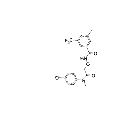 Cc1cc(C(=O)NOCC(=O)N(C)c2ccc(Cl)cc2)cc(C(F)(F)F)c1